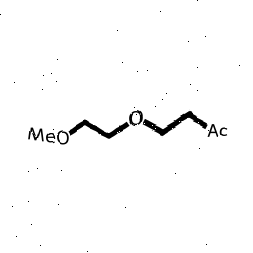 COCCOCCC(C)=O